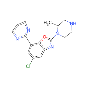 CC1CNCCN1c1nc2cc(Cl)cc(-c3ncccn3)c2o1